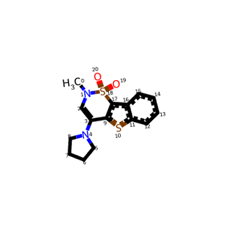 CN1C=C(N2CCCC2)c2sc3ccccc3c2S1(=O)=O